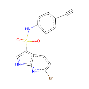 C#Cc1ccc(NS(=O)(=O)c2c[nH]c3nc(Br)ccc23)cc1